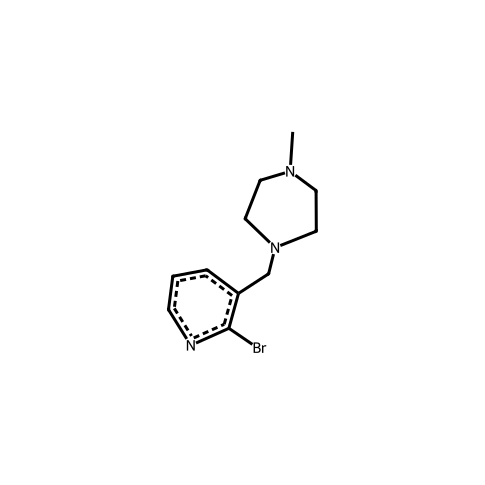 CN1CCN(Cc2cccnc2Br)CC1